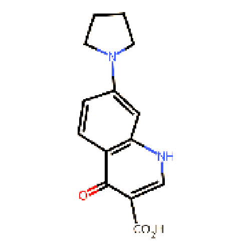 O=C(O)c1c[nH]c2cc(N3CCCC3)ccc2c1=O